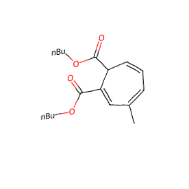 CCCCOC(=O)C1=CC(C)=CC=CC1C(=O)OCCCC